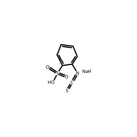 O=S(=O)(O)c1ccccc1N=C=S.[NaH]